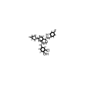 O=C(NCc1ccc(F)cc1)c1cnc(N2CC3CC3C2)nc1NCc1ccc(O)c(Cl)c1